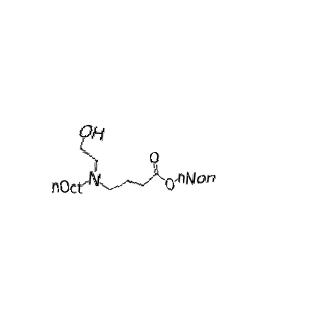 CCCCCCCCCOC(=O)CCCN(CCO)CCCCCCCC